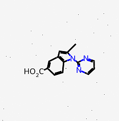 Cc1cc2cc(C(=O)O)ccc2n1-c1ncccn1